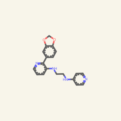 c1cnc(-c2ccc3c(c2)OCO3)c(NCCNc2ccncc2)c1